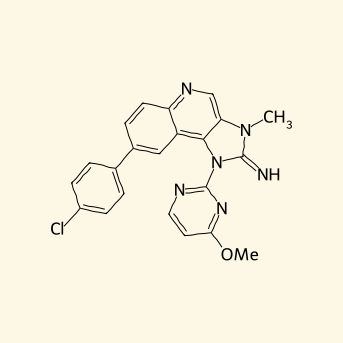 COc1ccnc(-n2c(=N)n(C)c3cnc4ccc(-c5ccc(Cl)cc5)cc4c32)n1